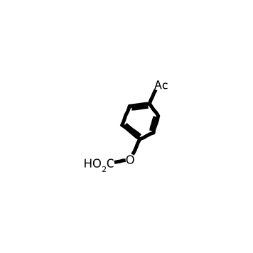 CC(=O)c1ccc(OC(=O)O)cc1